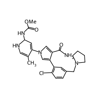 COC(=O)NC1C=C(n2cc(C(N)=O)c(-c3cc(CN4CCCC4)ccc3Cl)c2)C(C)=CN1